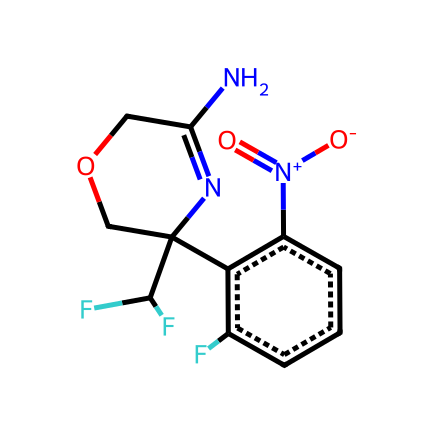 NC1=NC(c2c(F)cccc2[N+](=O)[O-])(C(F)F)COC1